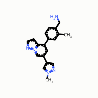 Cc1cc(-c2cc(-c3cnn(C)c3)cn3nccc23)ccc1CN